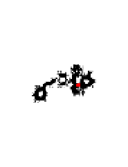 Cc1cccc(C)c1-n1nnnc1C(c1ccncc1)N1CCN(CC=Cc2ccccc2)CC1